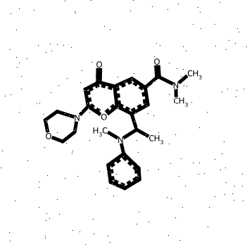 CC(c1cc(C(=O)N(C)C)cc2c(=O)cc(N3CCOCC3)oc12)N(C)c1ccccc1